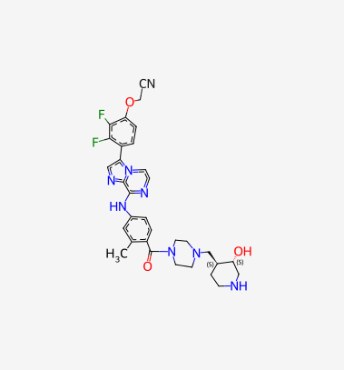 Cc1cc(Nc2nccn3c(-c4ccc(OCC#N)c(F)c4F)cnc23)ccc1C(=O)N1CCN(C[C@@H]2CCNC[C@H]2O)CC1